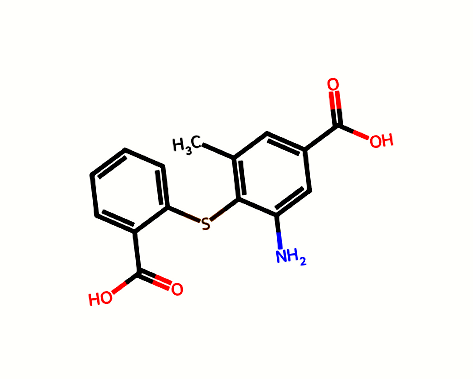 Cc1cc(C(=O)O)cc(N)c1Sc1ccccc1C(=O)O